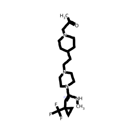 CN/C(=C\C1(C(F)(F)F)CC1)N1CCN(CCC2CCN(CC(C)=O)CC2)CC1